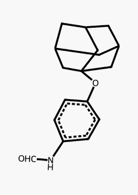 O=CNc1ccc(OC23CC4CC(CC(C4)C2)C3)cc1